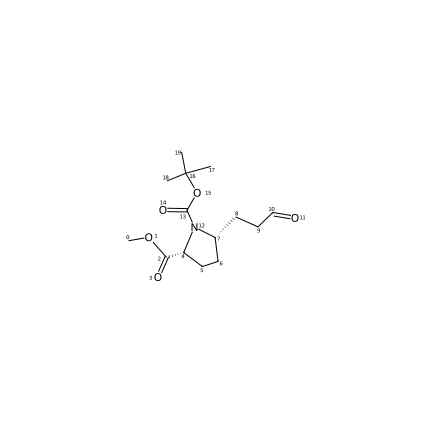 COC(=O)[C@H]1CC[C@@H](CCC=O)N1C(=O)OC(C)(C)C